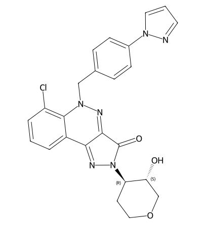 O=c1c2nn(Cc3ccc(-n4cccn4)cc3)c3c(Cl)cccc3c-2nn1[C@@H]1CCOC[C@H]1O